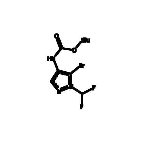 CC(C)(C)OC(=O)Nc1cnn(C(F)F)c1Br